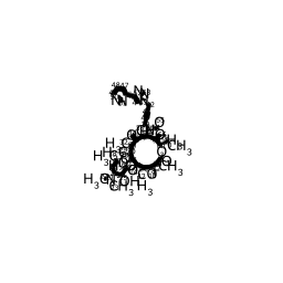 CC[C@H]1OC(=O)[C@@](C)(F)C(=O)[C@H](C)[C@@H](O[C@@H]2O[C@H](C)CC(N(C)C)C2O)[C@](C)(OC)C[C@@H](C)C(=O)[C@H](C)[C@H]2N(CC#CCn3cc(-c4cccnn4)nn3)C(=O)O[C@]12C